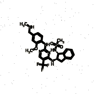 CNCc1ccc(Nc2ncc(C(F)(F)F)c(N[C@@H]3Cc4ccccc4[C@H]3NS(C)(=O)=O)n2)c(OC)c1